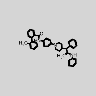 C=C(Nc1ccccc1)C(c1ccccc1)C1CCN(c2ccc(NC(=O)c3ccccc3-c3ccccc3C)cc2)CC1